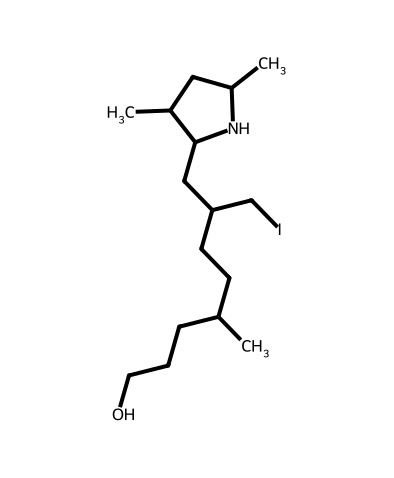 CC(CCCO)CCC(CI)CC1NC(C)CC1C